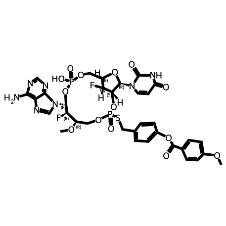 COc1ccc(C(=O)Oc2ccc(CSP3(=O)OC[C@@H](OC)[C@@H](F)[C@H](n4cnc5c(N)ncnc54)OP(=O)(O)OC[C@H]4O[C@@H](n5ccc(=O)[nH]c5=O)[C@H](O3)[C@@H]4F)cc2)cc1